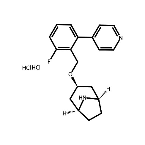 Cl.Cl.Fc1cccc(-c2ccncc2)c1CO[C@H]1C[C@H]2CC[C@@H](C1)N2